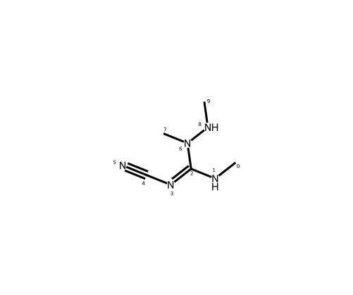 CNC(=NC#N)N(C)NC